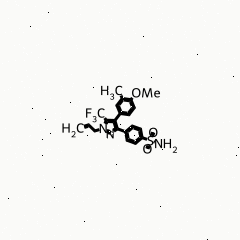 C=CCn1nc(-c2ccc(S(N)(=O)=O)cc2)c(-c2ccc(OC)c(C)c2)c1C(F)(F)F